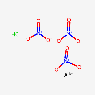 Cl.O=[N+]([O-])[O-].O=[N+]([O-])[O-].O=[N+]([O-])[O-].[Al+3]